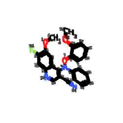 COc1cc2c(N(Oc3ccccc3OC)c3ccccc3)c(C#N)cnc2cc1F